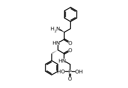 N[C@@H](Cc1ccccc1)C(=O)N[C@@H](Cc1ccccc1)C(=O)NCP(=O)(O)O